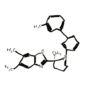 Cc1cccc(C2[C]=C(N3CCC[C@@]3(C)c3nc4cc(C)c(C)cc4[nH]3)C=CC2)c1